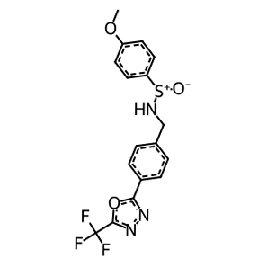 COc1ccc([S+]([O-])NCc2ccc(-c3nnc(C(F)(F)F)o3)cc2)cc1